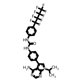 CC(C)n1cc(-c2ccc(NC(=O)Nc3ccc(C(F)(F)C(F)(F)C(F)(F)C(F)(F)F)cc3)cc2)c2c(N)ncnc21